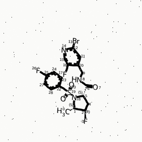 C[C@H]1[C@H](F)C[C@@H](C(=O)NCc2cc(Br)ncc2F)N1S(=O)(=O)c1ccc(F)cc1